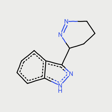 c1ccc2c(C3CCCN=N3)n[nH]c2c1